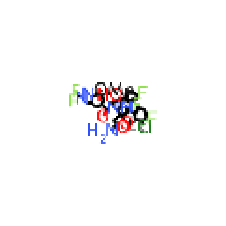 CCOc1c(CC(N)=O)cc([C@@](O)(CNC(=O)c2cc(OC)c3nn(C(F)F)cc3c2)c2ccc(F)cc2)nc1-c1cc(Cl)c(F)cc1F